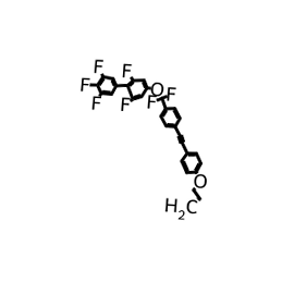 C=CCOc1ccc(C#Cc2ccc(C(F)(F)Oc3cc(F)c(-c4cc(F)c(F)c(F)c4)c(F)c3)cc2)cc1